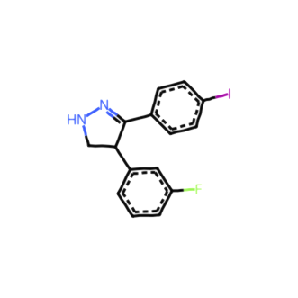 Fc1cccc(C2CNN=C2c2ccc(I)cc2)c1